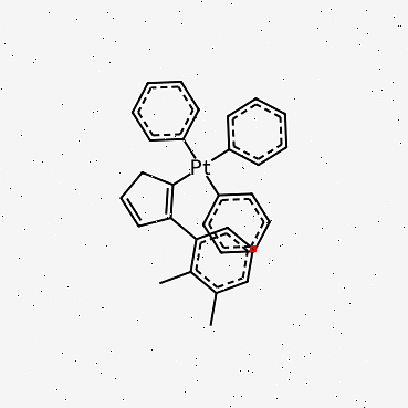 Cc1cccc(C2=[C]([Pt]([c]3ccccc3)([c]3ccccc3)[c]3ccccc3)CC=C2)c1C